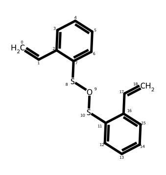 C=Cc1ccccc1SOSc1ccccc1C=C